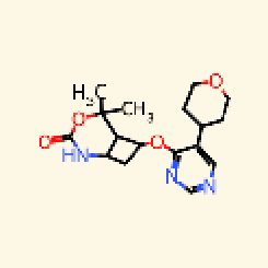 CC1(C)OC(=O)NC2CC(Oc3ncncc3C3CCOCC3)C21